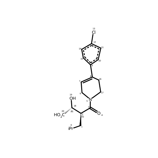 CC(C)C[C@H](C(=O)N1CC=C(c2ccc(Cl)cc2)CC1)[C@@H](O)C(=O)O